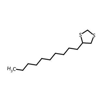 CCCCCCCCCCC1CSCS1